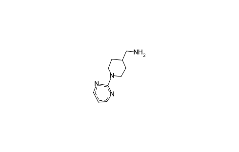 NCC1CCN(c2ncccn2)CC1